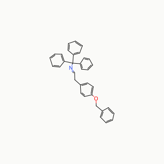 C(Cc1ccc(OCc2ccccc2)cc1)=NC(c1ccccc1)(c1ccccc1)c1ccccc1